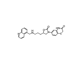 O=C1CSc2ccc(N3CC(CCCNCc4cccc5ncccc45)OC3=O)cc2N1